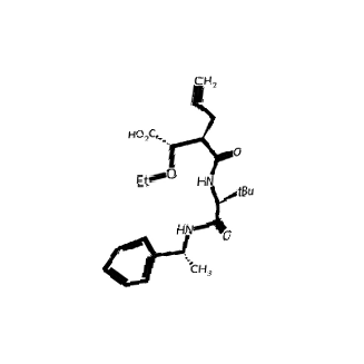 C=CC[C@@H](C(=O)N[C@H](C(=O)N[C@H](C)c1ccccc1)C(C)(C)C)[C@H](OCC)C(=O)O